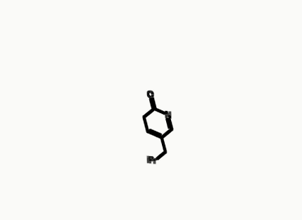 CC(C)CC1=CCC(=O)N=C1